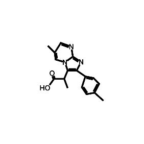 Cc1ccc(-c2nc3ncc(C)cn3c2C(C)C(=O)O)cc1